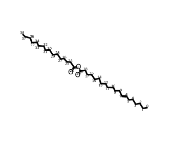 CCCCCCC=CCCCCCCCCCCCC(=O)OC(=O)CCCCCCCCCCCCCCC